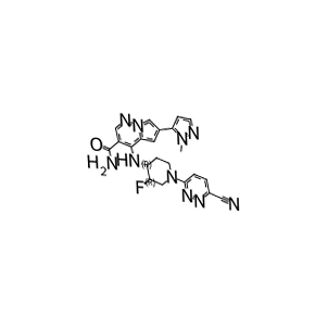 Cn1nccc1-c1cc2c(N[C@@H]3CCN(c4ccc(C#N)nn4)C[C@H]3F)c(C(N)=O)cnn2c1